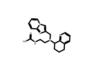 O=C(O)NCCN(Cc1cn2ccccc2n1)C1CCCc2cccnc21